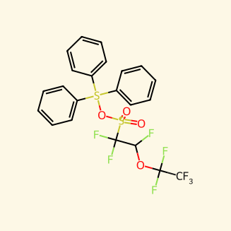 O=S(=O)(OS(c1ccccc1)(c1ccccc1)c1ccccc1)C(F)(F)C(F)OC(F)(F)C(F)(F)F